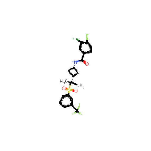 CC(C)([C@H]1C[C@@H](NC(=O)c2ccc(F)c(Cl)c2)C1)S(=O)(=O)c1cccc(C(F)(F)F)c1